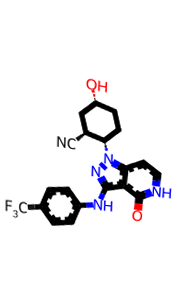 N#C[C@H]1C[C@H](O)CC[C@@H]1n1nc(Nc2ccc(C(F)(F)F)cc2)c2c(=O)[nH]ccc21